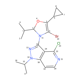 CC(C)C1OC(C2CC2)=C(Br)N1c1nn(C(C)C)c2ccnc(Cl)c12